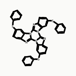 c1ccc(Sc2ccc3nc4n(c3c2)c2nc3ccc(Sc5ccccc5)cc3n2c2nc3ccc(Sc5ccccc5)cc3n42)cc1